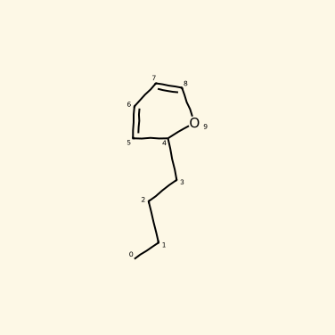 CCCCC1C=CC=CO1